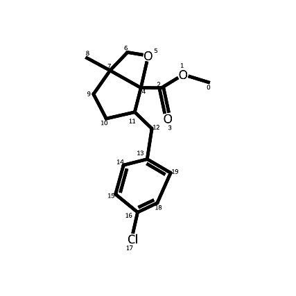 COC(=O)C12OCC1(C)CCC2Cc1ccc(Cl)cc1